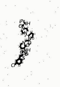 CC(C)NC(=O)N1CCN(C[C@@H]2CCCN2C(=O)CN2CCC[C@H](NS(=O)(=O)c3cc4cc(Cl)ccc4s3)C2=O)CC1